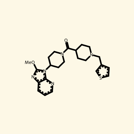 COc1nc2cccnc2n1C1CCN(C(=O)C2CCN(Cc3ccsc3)CC2)CC1